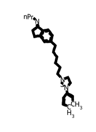 C/C=C\C(=C/C)N1CCN(CCCCCCc2ccc3c(c2)CC/C3=N\CCC)S1